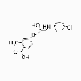 Cc1cc(OCC(O)CNc2ccc(Cl)cc2)ccc1C(=O)O